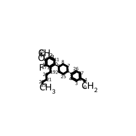 C=Cc1ccc([C@H]2CC[C@H](c3ccc(OC)c(F)c3CCCCC)CC2)cc1